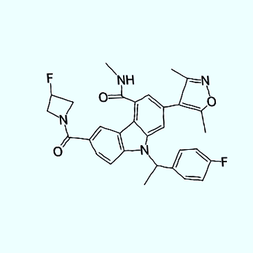 CNC(=O)c1cc(-c2c(C)noc2C)cc2c1c1cc(C(=O)N3CC(F)C3)ccc1n2C(C)c1ccc(F)cc1